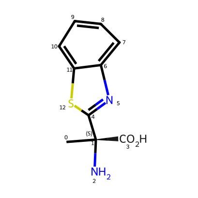 C[C@](N)(C(=O)O)c1nc2ccccc2s1